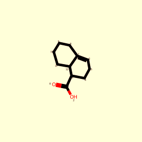 O=C(O)C1CCC=C2CCCCC21